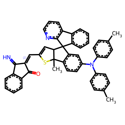 Cc1ccc(N(c2ccc(C)cc2)c2ccc3c(c2)C2(c4ccccc4-c4cccnc42)C2C=C(/C=C4/C(=N)c5ccccc5C4=O)SC32C)cc1